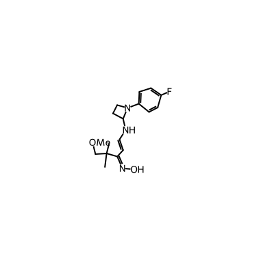 COCC(C)(C)C(/C=C/NC1CCN1c1ccc(F)cc1)=N/O